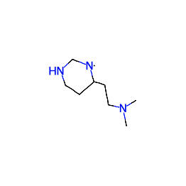 CN(C)CCC1CCNC[N]1